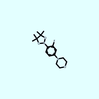 CC1(C)OB(c2ccc(N3CCOCC3)cc2F)OC1(C)C